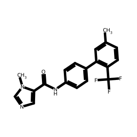 Cc1ccc(C(F)(F)F)c(-c2ccc(NC(=O)c3cncn3C)cc2)c1